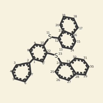 [c]1c(-c2ccccc2)ccc(Sc2cccc3ccccc23)c1Sc1cccc2ccccc12